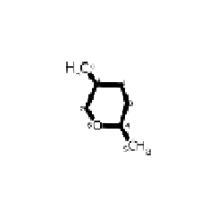 CC1CCC(C)OC1